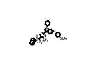 COC1CCC(Oc2ccc3c(-c4ncc(C(=O)NC5(C(=O)O)C6CC7CC(C6)CC5C7)c(C(F)(F)F)n4)cn(C4CCC(F)(F)CC4)c3c2)CC1